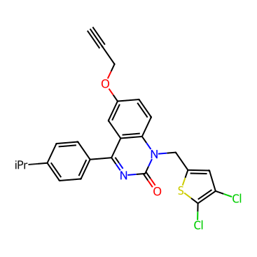 C#CCOc1ccc2c(c1)c(-c1ccc(C(C)C)cc1)nc(=O)n2Cc1cc(Cl)c(Cl)s1